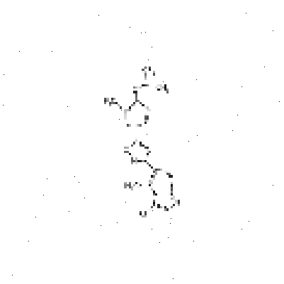 Cc1c(-c2noc(-c3ccc(OC(C)C(F)(F)F)c(C(F)(F)F)c3)n2)ccc2ncc(Cl)n12